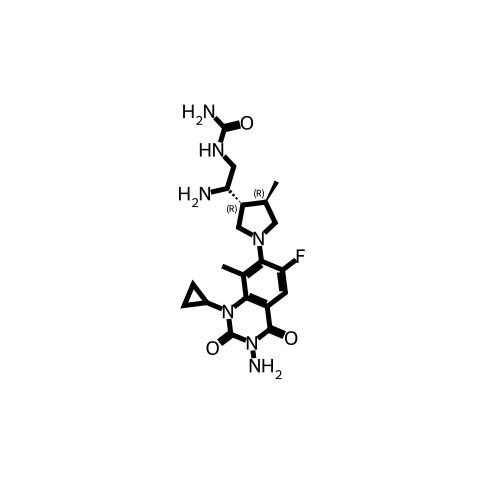 Cc1c(N2C[C@H](C(N)CNC(N)=O)[C@@H](C)C2)c(F)cc2c(=O)n(N)c(=O)n(C3CC3)c12